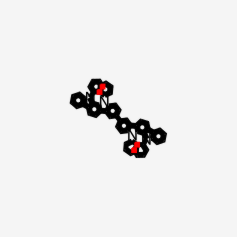 C1=CCCC(n2c3ccccc3c3ccc4c5cc(-c6ccc7c(c6)c6ccc8c9ccccc9n(-c9ccccc9)c8c6n7-c6ccccc6)ccc5n(C5=CC=CCC5)c4c32)=C1